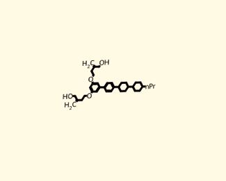 C=C(CO)CCOc1cc(OCCC(=C)CO)cc(-c2ccc(C3CCC(C4CCC(CCC)CC4)CC3)cc2)c1